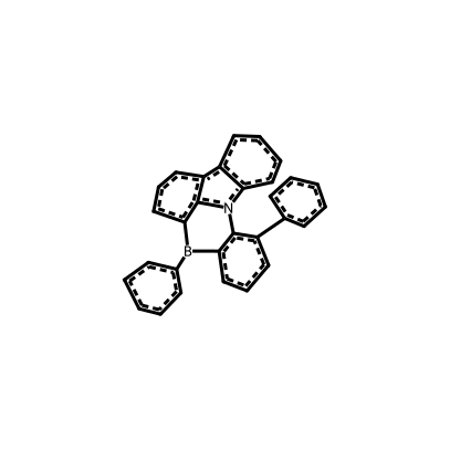 c1ccc(B2c3cccc(-c4ccccc4)c3-n3c4ccccc4c4cccc2c43)cc1